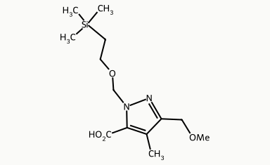 COCc1nn(COCC[Si](C)(C)C)c(C(=O)O)c1C